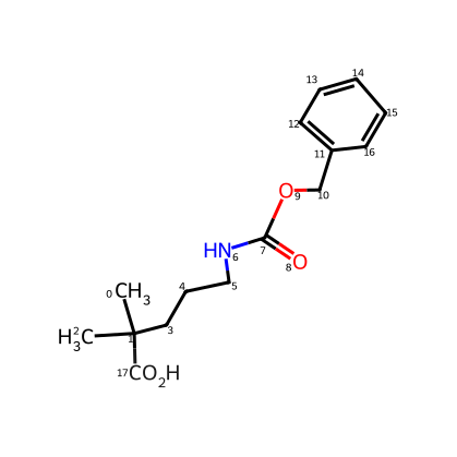 CC(C)(CCCNC(=O)OCc1ccccc1)C(=O)O